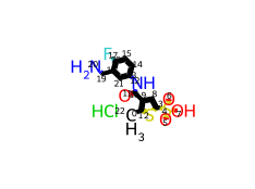 Cc1sc(S(=O)(=O)O)cc1C(=O)Nc1ccc(F)c(CN)c1.Cl